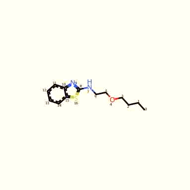 CCCCOCCNc1nc2ccccc2s1